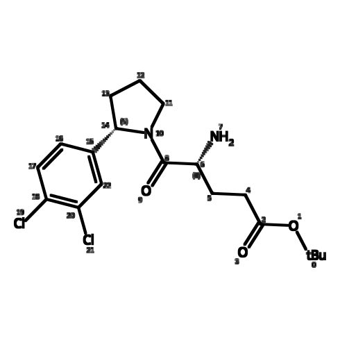 CC(C)(C)OC(=O)CC[C@@H](N)C(=O)N1CCC[C@H]1c1ccc(Cl)c(Cl)c1